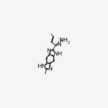 CC=C/C(=N\N)c1nc2cc3[nH]c(C)nc3cc2[nH]1